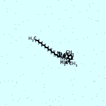 CCCCCCCCCCCCCCc1cc(NC(=O)Nc2c(C(C)C)cccc2C(C)C)on1